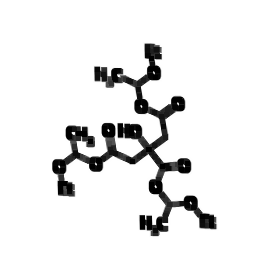 CCOC(C)OC(=O)CC(O)(CC(=O)OC(C)OCC)C(=O)OC(C)OCC